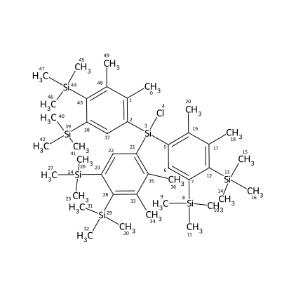 Cc1c([Si](Cl)(c2cc([Si](C)(C)C)c([Si](C)(C)C)c(C)c2C)c2cc([Si](C)(C)C)c([Si](C)(C)C)c(C)c2C)cc([Si](C)(C)C)c([Si](C)(C)C)c1C